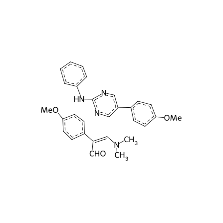 COc1ccc(-c2cnc(Nc3ccccc3)nc2)cc1.COc1ccc(C(C=O)=CN(C)C)cc1